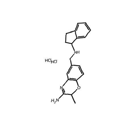 CC1Oc2ccc(CNC3CCc4ccccc43)cc2N=C1N.Cl.Cl